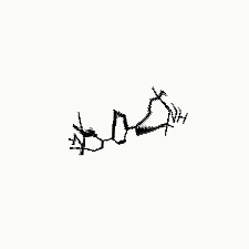 CN1C(C)(C)CCC(c2ccc(C3CCC(C)(C)NC(C)(C)C3)cc2)CC1(C)C